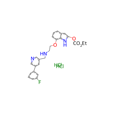 CCOC(=O)Oc1cc2cccc(OCCNCc3cncc(-c4cccc(F)c4)c3)c2[nH]1.Cl.Cl